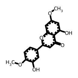 COc1cc(O)c2c(=O)cc(-c3ccc(OC)c(O)c3)oc2c1